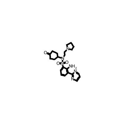 Nc1c(-c2ncccn2)cccc1S(=O)(=O)N(CCN1CCCC1)C1CCC(=O)CC1